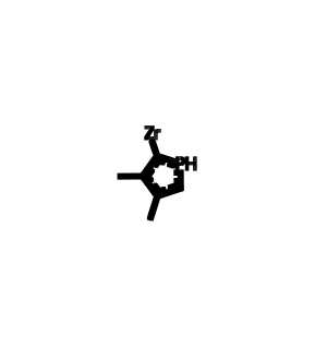 Cc1c[pH][c]([Zr])c1C